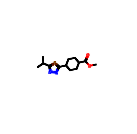 COC(=O)C1CCC(c2nnc(C(C)C)s2)CC1